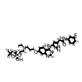 CCN(CCCOc1ccc2c(Nc3cc(CC(=O)Nc4cccc(F)c4)[nH]n3)ncnc2c1)CCOP(=O)(O)OC(C)(C)C